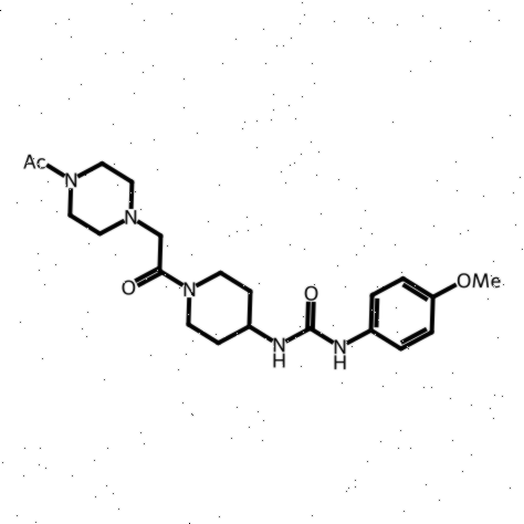 COc1ccc(NC(=O)NC2CCN(C(=O)CN3CCN(C(C)=O)CC3)CC2)cc1